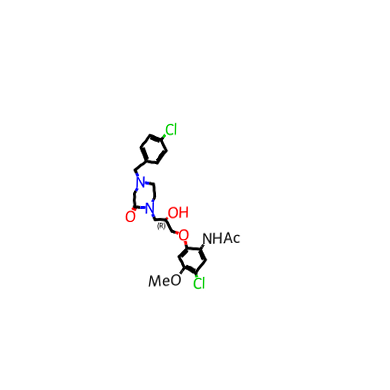 COc1cc(OC[C@H](O)CN2CCN(Cc3ccc(Cl)cc3)CC2=O)c(NC(C)=O)cc1Cl